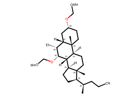 CC[C@H]1[C@@H](OCOC)[C@@H]2[C@H](CC[C@]3(C)[C@@H]([C@H](C)CCC#N)CC[C@@H]23)[C@@]2(C)CC[C@@H](OCOC)C[C@@H]12